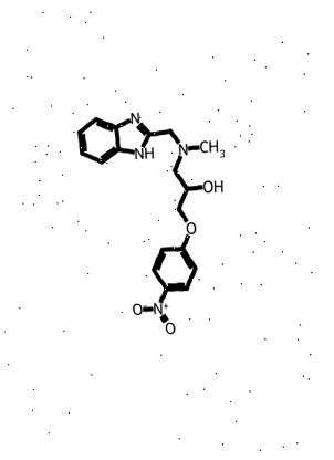 CN(Cc1nc2ccccc2[nH]1)CC(O)COc1ccc([N+](=O)[O-])cc1